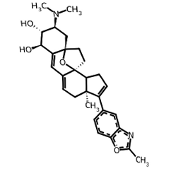 Cc1nc2cc(C3=CCC4[C@]3(C)CC=C3C=C5[C@@H](O)[C@H](O)[C@@H](N(C)C)C[C@]56CC[C@@]34O6)ccc2o1